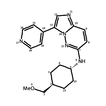 COC[C@H]1CC[C@H](Nc2ccc3ncc(-c4ccncc4)n3n2)CC1